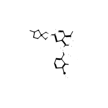 Cc1c(C#N)cccc1[C@@H](N)Nc1nnc(C)c2cnc(N3CC4(CCC(C)C4)C3)cc12